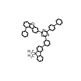 CC1(C)c2ccccc2-c2cc(-c3cccc(-c4nc(-c5ccc(-c6ccccc6)cc5)nc(-c5ccc6c(c5)oc5cccc(-c7ccccc7)c56)n4)c3)ccc21